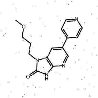 COCCCn1c(=O)[nH]c2ncc(-c3ccncc3)cc21